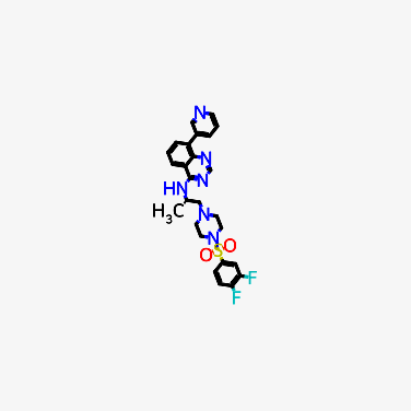 C[C@@H](CN1CCN(S(=O)(=O)c2ccc(F)c(F)c2)CC1)Nc1ncnc2c(-c3cccnc3)cccc12